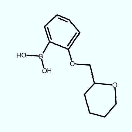 OB(O)c1ccccc1OCC1CCCCO1